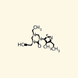 C#CCN1CN(CC)CN(c2snc(CC)c2C)C1=O